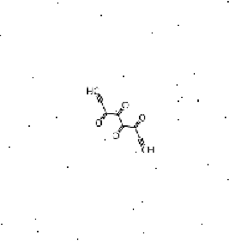 C#CC(=O)C(=O)C(=O)C(=O)C#C